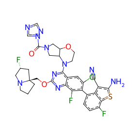 N#Cc1c(N)sc2c(F)ccc(-c3c(Cl)cc4c(N5CCOC6CN(C(=O)n7cncn7)CC65)nc(OC[C@@]56CCCN5C[C@H](F)C6)nc4c3F)c12